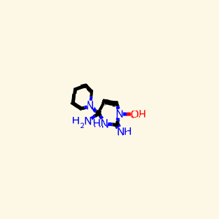 N=C1NC(N)(N2CCCCC2)C=CN1O